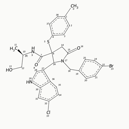 Cc1ccc(SC2(C(=O)N[C@H](C)CO)CC(=O)N(Cc3ccc(Br)cc3)C2c2c[nH]c3cc(Cl)ccc23)cc1